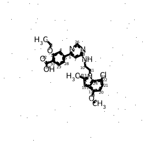 CCOc1cc(-c2cc(NCCn3c(C)cc4c(OC)ccc(Cl)c43)ncn2)ccc1C(=O)O